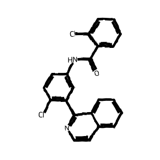 O=C(Nc1ccc(Cl)c(-c2nccc3ccccc23)c1)c1ccccc1Cl